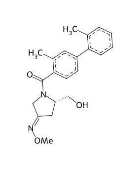 CO/N=C1\C[C@@H](CO)N(C(=O)c2ccc(-c3ccccc3C)cc2C)C1